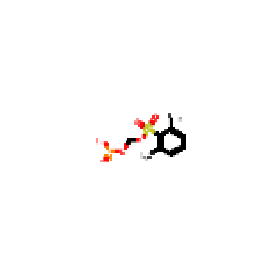 Cc1cccc(C(F)(F)F)c1S(=O)(=O)OCO[PH](=O)O